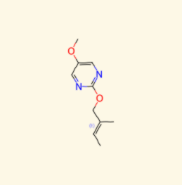 C/C=C(\C)COc1ncc(OC)cn1